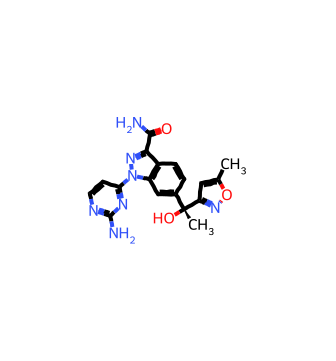 Cc1cc([C@](C)(O)c2ccc3c(C(N)=O)nn(-c4ccnc(N)n4)c3c2)no1